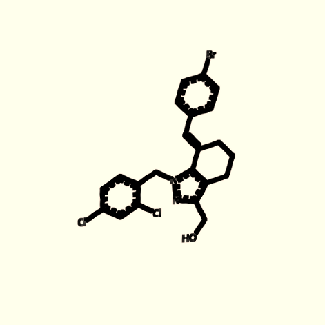 OCc1nn(Cc2ccc(Cl)cc2Cl)c2c1CCCC2=Cc1ccc(Br)cc1